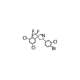 FC(F)(F)C1(c2cc(Cl)cc(Cl)c2)C=NC(c2ccc(Br)c(Cl)c2)C1